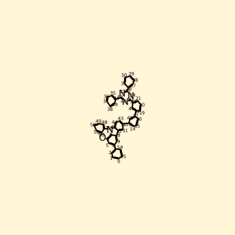 c1ccc(-c2cc3c4c(c2)c2cc(-c5cccc(-c6cccc(-c7nc(-c8ccccc8)nc(-c8ccccc8)n7)c6)c5)ccc2n4-c2ccccc2O3)cc1